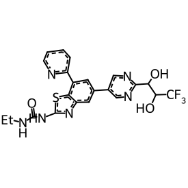 CCNC(=O)Nc1nc2cc(-c3cnc(C(O)C(O)C(F)(F)F)nc3)cc(-c3ccccn3)c2s1